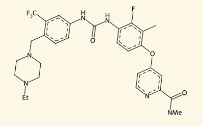 CCN1CCN(Cc2ccc(NC(=O)Nc3ccc(Oc4ccnc(C(=O)NC)c4)c(C)c3F)cc2C(F)(F)F)CC1